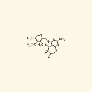 COc1c(C)cnc(Cn2nc3c4c(nc(N)nc42)SCC(=O)C32CC2)c1C